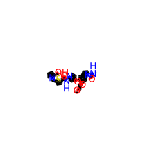 CNC(=O)n1ccc2cc(Oc3ccnc(NC(=O)c4ccc(CN5CCC[C@@H]5CO)s4)c3)c(OCCOC)cc21